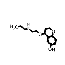 CCCNCCOC1CCOc2ccc(O)cc21